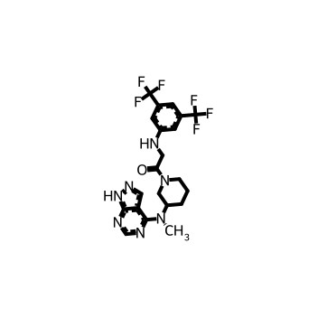 CN(c1ncnc2[nH]ncc12)C1CCCN(C(=O)CNc2cc(C(F)(F)F)cc(C(F)(F)F)c2)C1